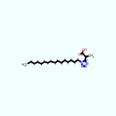 CCCCCCCCCCCCCCCCn1nnnc1C(C)C(=O)O